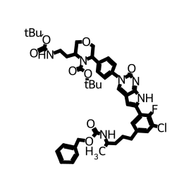 CC(CCCc1cc(Cl)c(F)c(-c2cc3cn(-c4ccc(C5COCC(CCNC(=O)OC(C)(C)C)N5C(=O)OC(C)(C)C)cc4)c(=O)nc3[nH]2)c1)NC(=O)OCc1ccccc1